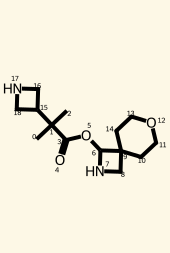 CC(C)(C(=O)OC1NCC12CCOCC2)C1CNC1